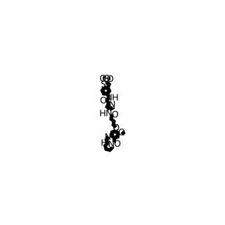 COc1cc2c(cc1OCCCC(=O)Nc1cc(C(=O)Nc3ccc4sc(S(C)(=O)=O)cc4c3)n(C)c1)N=C[C@@H]1CCCCN1C2=O